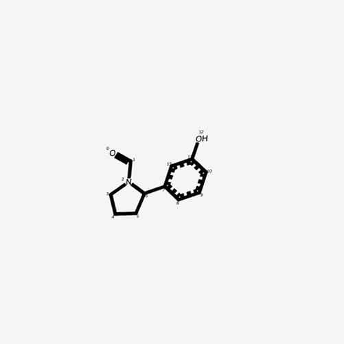 O=CN1CCCC1c1cccc(O)c1